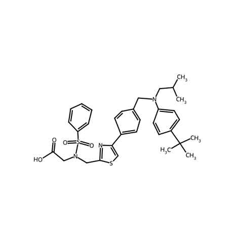 CC(C)CN(Cc1ccc(-c2csc(CN(CC(=O)O)S(=O)(=O)c3ccccc3)n2)cc1)c1ccc(C(C)(C)C)cc1